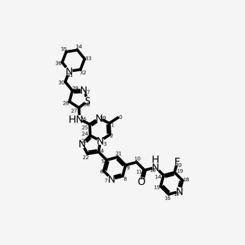 Cc1cn2c(-c3cncc(CC(=O)Nc4ccncc4F)c3)cnc2c(NC2CC(CN3CCCCC3)=NS2)n1